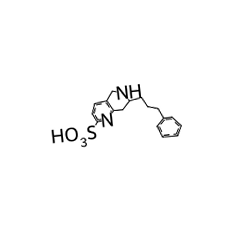 O=S(=O)(O)c1ccc2c(n1)CC(CCCc1ccccc1)NC2